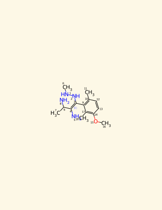 CNN/C(=C(/N)C(C)N)c1c(C)ccc(OC)c1C